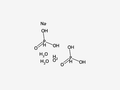 O.O.O.O=[PH](O)O.O=[PH](O)O.[Na]